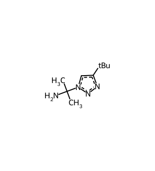 CC(C)(C)c1cn(C(C)(C)N)nn1